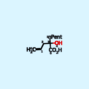 C=CCC(O)(CCCCC)C(=O)O